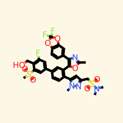 Cc1nc(-c2ccc3c(c2)OC(F)(F)O3)c(-c2cc(-c3cc(F)c(CO)c(S(C)(=O)=O)c3)ccc2-c2cc(CS(=O)(=O)N(C)C)nn2C)o1